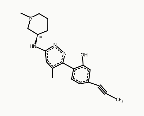 Cc1cc(N[C@@H]2CCCN(C)C2)nnc1-c1ccc(C#CC(F)(F)F)cc1O